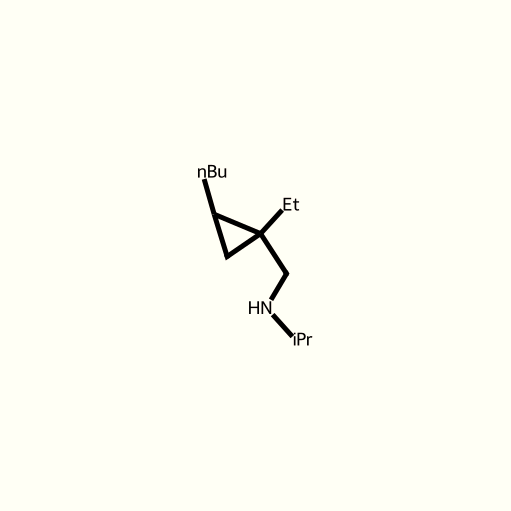 CCCCC1CC1(CC)CNC(C)C